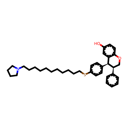 Oc1ccc2c(c1)[C@H](c1ccc(SCCCCCCCCCCCN3CCCC3)cc1)[C@H](c1ccccc1)CO2